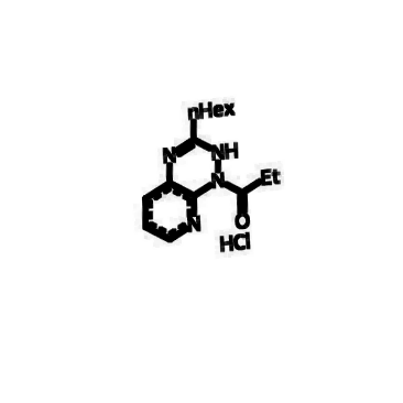 CCCCCCC1=Nc2cccnc2N(C(=O)CC)N1.Cl